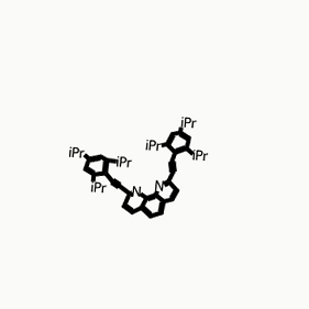 CC(C)c1cc(C(C)C)c(C#Cc2ccc3ccc4ccc(C#Cc5c(C(C)C)cc(C(C)C)cc5C(C)C)nc4c3n2)c(C(C)C)c1